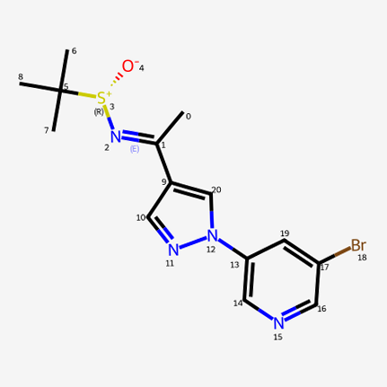 C/C(=N\[S@@+]([O-])C(C)(C)C)c1cnn(-c2cncc(Br)c2)c1